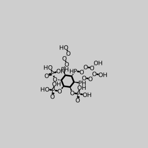 O=P(O)(O)O[C@H]1[C@H](OP(=O)(O)O)[C@@H](POOOO)[C@H](POOOO)[C@@H](POOOO)[C@H]1OP(=O)(O)O